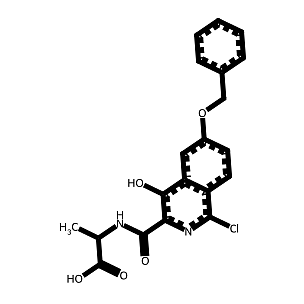 CC(NC(=O)c1nc(Cl)c2ccc(OCc3ccccc3)cc2c1O)C(=O)O